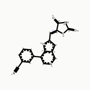 N#Cc1cccc(-c2cncc3cc(/C=C4\SC(=O)NC4=O)oc23)c1